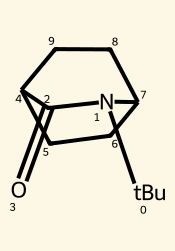 CC(C)(C)N1C(=O)C2CCC1CC2